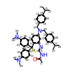 CC(=O)NC1=Nc2cc(N(Cc3ccc(C(C)C)cc3)Cc3ccc(C(C)C)cc3)ccc2C(c2ccc(N(C)C)cc2)(c2ccc(N(C)C)cc2)S1